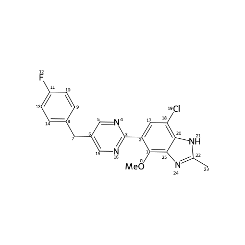 COc1c(-c2ncc(Cc3ccc(F)cc3)cn2)cc(Cl)c2[nH]c(C)nc12